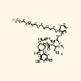 CCC(C)C(NC(=O)CCc1ccccc1OCCOCCOCCOCCOC)C(=O)NC1(C(=O)O)CCc2[nH]c3c(Cl)cc(Cl)cc3c2C1